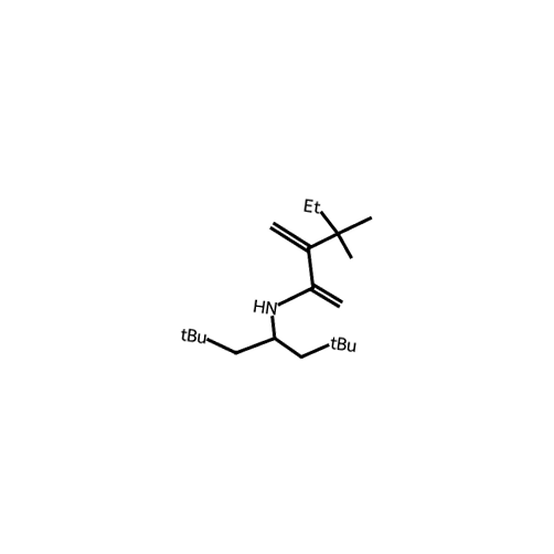 C=C(NC(CC(C)(C)C)CC(C)(C)C)C(=C)C(C)(C)CC